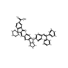 O=C(O)c1ccc2c(c1)C(=O)/C(=C\c1ccc3c(c1)C1CCCC1N3c1ccc(C=C(c3ccccc3)c3ccccc3)cc1)C21CCCCC1